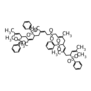 CC(C)=CC(CC(C)=CC(CC(C)=CCS(=O)(=O)CC=C(C)CC(C=C(C)CC(C=C(C)C)S(=O)(=O)c1ccccc1)S(=O)(=O)c1ccccc1)S(=O)(=O)c1ccccc1)S(=O)(=O)c1ccccc1